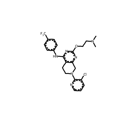 CN(C)CCOc1nc2c(c(Nc3ccc(C(F)(F)F)cc3)n1)CCN(c1ncccc1Cl)C2